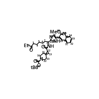 CCC(=O)CCCCCC(NC(=O)C1CC12CCN(C(=O)OC(C)(C)C)CC2)c1ncc(-c2cc3ccccc3nc2OC)[nH]1